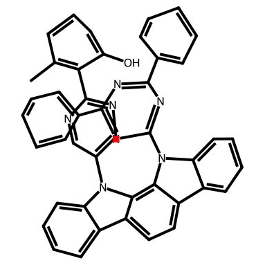 Cc1cccc(O)c1-c1ncc(-n2c3ccccc3c3ccc4c5ccccc5n(-c5nc(-c6ccccc6)nc(-c6ccccc6)n5)c4c32)cn1